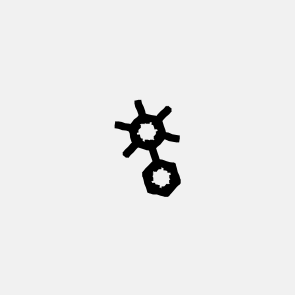 Cc1c(C)c(C)c(-c2ccccc2)c(C)c1C